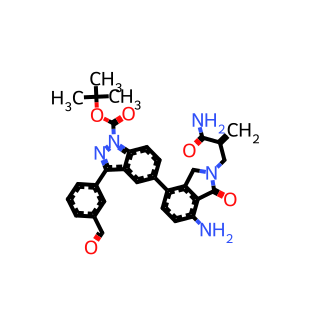 C=C(CN1Cc2c(-c3ccc4c(c3)c(-c3cccc(C=O)c3)nn4C(=O)OC(C)(C)C)ccc(N)c2C1=O)C(N)=O